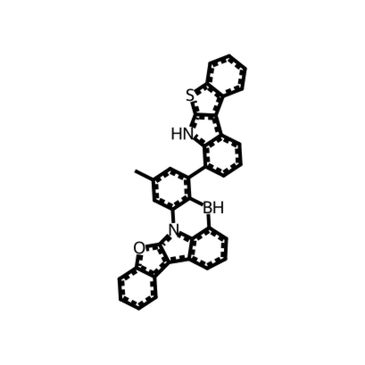 Cc1cc(-c2cccc3c2[nH]c2sc4ccccc4c23)c2c(c1)-n1c3oc4ccccc4c3c3cccc(c31)B2